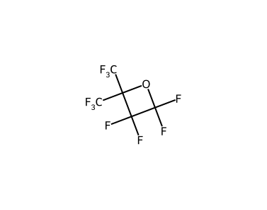 FC(F)(F)C1(C(F)(F)F)OC(F)(F)C1(F)F